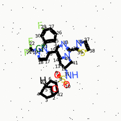 O=C1C2CC[C@H]1C[C@H](S(=O)(=O)N[C@H]1CC3=C(c4ccn(C(F)F)n4)[C@H](c4ccc(F)cc4Cl)N=C(c4nccs4)N3C1)C2